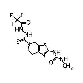 CNC(=O)Nc1nc2c(s1)CN(C(=S)NNC(=O)C(F)(F)F)CC2